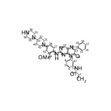 C=CC(=O)Nc1cccc(-n2c(=O)c(-c3ccccc3)nc3cnc(Nc4ccc(N5CCC(N6CCNCC6)CC5)cc4OC)nc32)c1